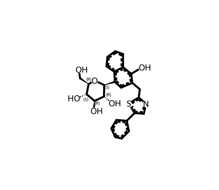 OC[C@H]1O[C@@H](c2cc(Cc3ncc(-c4ccccc4)s3)c(O)c3ccccc23)[C@H](O)[C@@H](O)[C@@H]1O